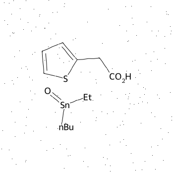 CCC[CH2][Sn](=[O])[CH2]C.O=C(O)Cc1cccs1